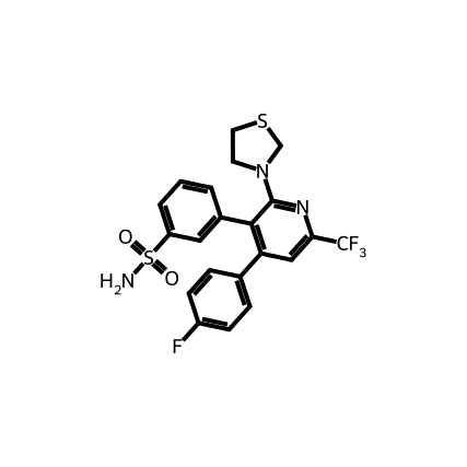 NS(=O)(=O)c1cccc(-c2c(-c3ccc(F)cc3)cc(C(F)(F)F)nc2N2CCSC2)c1